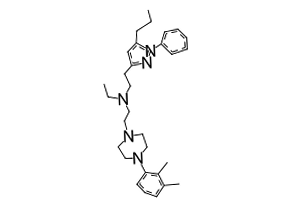 CCCc1cc(CCN(CC)CCN2CCN(c3cccc(C)c3C)CC2)nn1-c1ccccc1